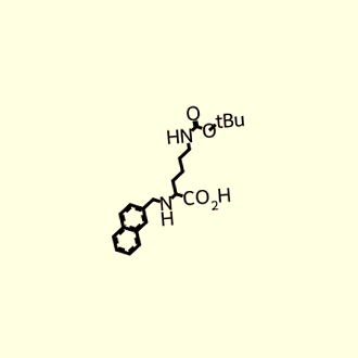 CC(C)(C)OC(=O)NCCCCC(NCc1ccc2ccccc2c1)C(=O)O